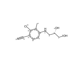 Cc1c(NC[C@H](O)CO)ccc(C#N)c1Cl